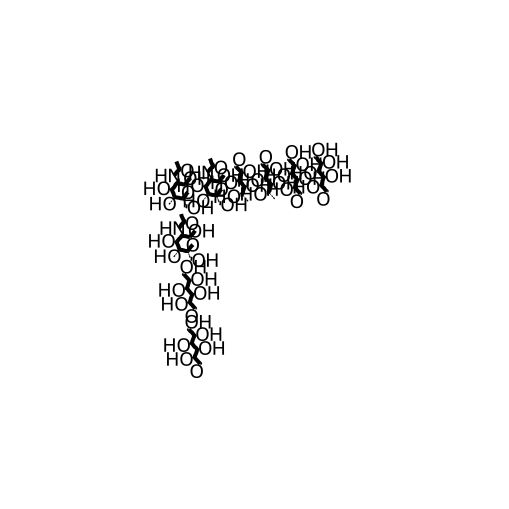 CC(=O)N[C@H]1C(O)O[C@H](CO)[C@H](O)[C@@H]1O.CC(=O)N[C@H]1C(O)O[C@H](CO)[C@H](O)[C@@H]1O.CC(=O)N[C@H]1C(O)O[C@H](CO)[C@H](O)[C@@H]1O.C[C@H](O)[C@@H](O)[C@@H](O)[C@H](O)C=O.C[C@H](O)[C@@H](O)[C@@H](O)[C@H](O)C=O.O=C[C@H](O)[C@@H](O)[C@@H](O)[C@H](O)CO.O=C[C@H](O)[C@@H](O)[C@@H](O)[C@H](O)CO.O=C[C@H](O)[C@@H](O)[C@@H](O)[C@H](O)CO.O=C[C@H](O)[C@@H](O)[C@H](O)[C@H](O)CO